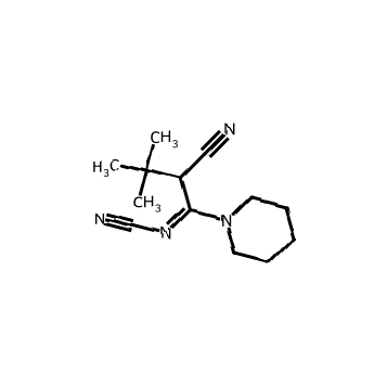 CC(C)(C)C(C#N)C(=NC#N)N1CCCCC1